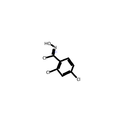 O/N=C(\Cl)c1ccc(Cl)cc1Cl